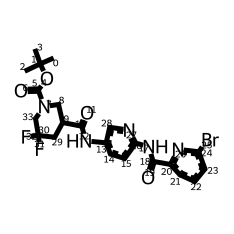 CC(C)(C)OC(=O)N1CC(C(=O)Nc2ccc(NC(=O)c3cccc(Br)n3)nc2)CC(F)(F)C1